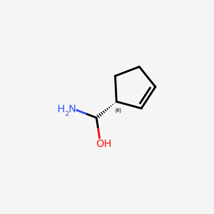 NC(O)[C@H]1C=CCC1